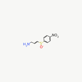 NCC=C[S+]([O-])c1ccc([N+](=O)[O-])cc1